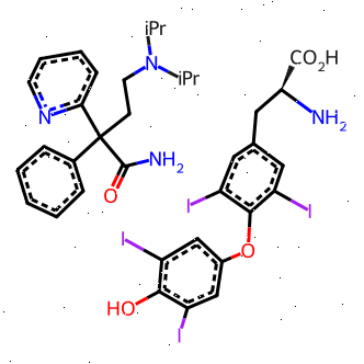 CC(C)N(CCC(C(N)=O)(c1ccccc1)c1ccccn1)C(C)C.N[C@@H](Cc1cc(I)c(Oc2cc(I)c(O)c(I)c2)c(I)c1)C(=O)O